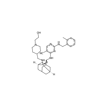 Cc1ccccc1CNc1ncc(C#N)c(NC[C@]23CC4C[C@H](C2)[C@@H](NCC2CCN(CCO)CC2)[C@@H](C4)C3)n1